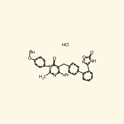 CCCc1nc(C)n(-c2ccc(OC(C)CC)cc2)c(=O)c1Cc1ccc(-c2ccccc2-c2noc(=O)[nH]2)cc1.Cl